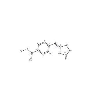 COC(=O)c1ccc(/C=C2/CCNC2)cc1